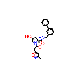 Cc1cc(CC(=O)N2C[C@H](O)C[C@H]2C(=O)NCc2cccc(-c3ccccc3)c2)on1